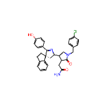 NC(=O)CC1C(=O)N(Cc2ccc(Cl)cc2)CC1C1C[C@]2(CCc3ccccc32)C(c2ccc(O)cc2)=N1